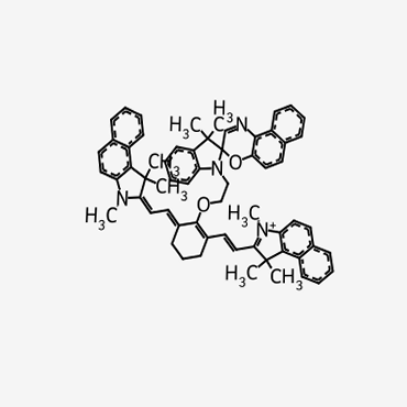 CN1/C(=C/C=C2\CCCC(/C=C/C3=[N+](C)c4ccc5ccccc5c4C3(C)C)=C2OCCN2c3ccccc3C(C)(C)C23C=Nc2c(ccc4ccccc24)O3)C(C)(C)c2c1ccc1ccccc21